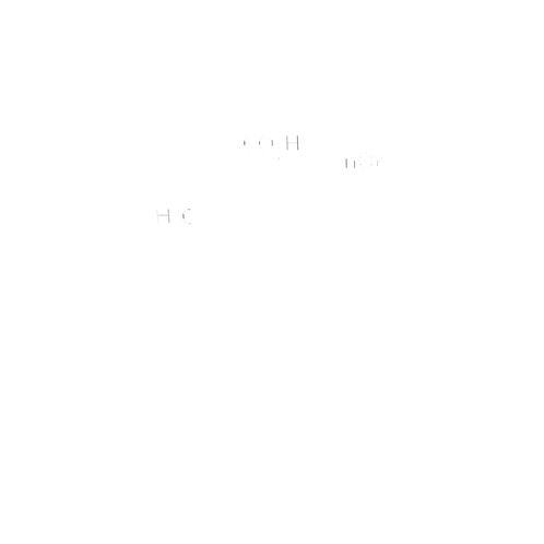 CCCCCCCCCC(=C(C)C(=O)O)c1ccccc1